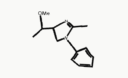 COC(C)C1CN(c2ccccc2)C(C)=N1